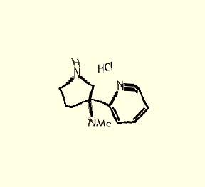 CNC1(c2ccccn2)CCNC1.Cl